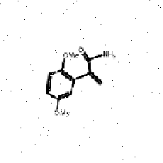 C=C(C(N)=O)c1cc(OC)ccc1OC